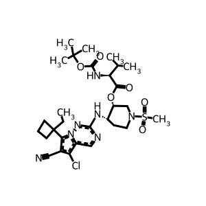 CCC1(c2c(C#N)c(Cl)c3cnc(N[C@H]4CCN(S(C)(=O)=O)C[C@H]4OC(=O)[C@@H](NC(=O)OC(C)(C)C)C(C)C)nn23)CCC1